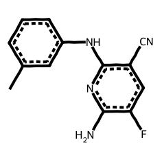 Cc1cccc(Nc2nc(N)c(F)cc2C#N)c1